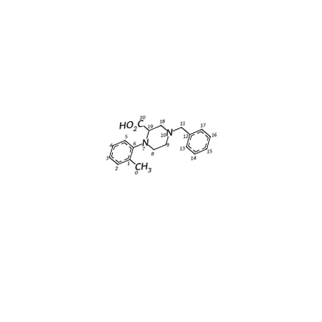 Cc1ccccc1N1CCN(Cc2ccccc2)CC1C(=O)O